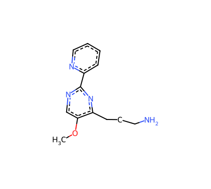 COc1cnc(-c2ccccn2)nc1CCCN